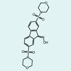 O=S(=O)(c1ccc2c(c1)C(=NO)c1cc(S(=O)(=O)N3CCOCC3)ccc1-2)N1CCOCC1